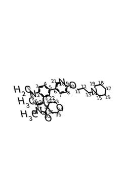 C=Nc1ccc(-c2ccc(OCCCN3CCCCC3)nc2)cc1C1=C(C)N(C)C(=O)C12CCOCC2